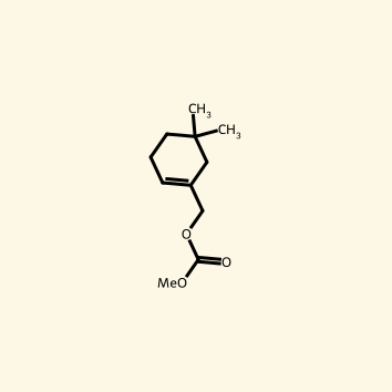 COC(=O)OCC1=CCCC(C)(C)C1